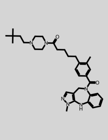 Cc1cc(C(=O)N2Cc3cnn(C)c3Nc3ccccc32)ccc1CCCCC(=O)N1CCN(CCC(C)(C)C)CC1